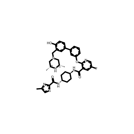 Cc1csc(C(=O)N[C@H]2CC[C@H](NC(=O)c3cc(F)cnc3Oc3cccc(-c4ccc(O)c(CN5C[C@@H](C)N[C@@H](C)C5)c4)c3)CC2)n1